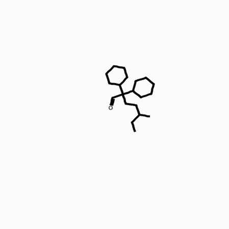 CCC(C)CCC(C=O)(C1CCCCC1)C1CCCCC1